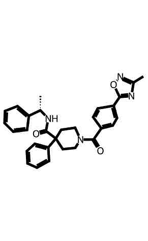 Cc1noc(-c2ccc(C(=O)N3CCC(C(=O)N[C@@H](C)c4ccccc4)(c4ccccc4)CC3)cc2)n1